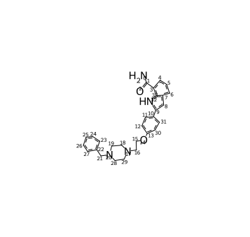 NC(=O)c1cccc2cc(-c3ccc(OCCN4CCN(Cc5ccccc5)CC4)cc3)[nH]c12